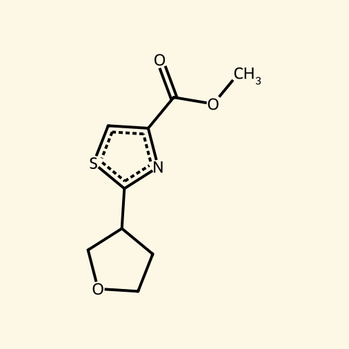 COC(=O)c1csc(C2CCOC2)n1